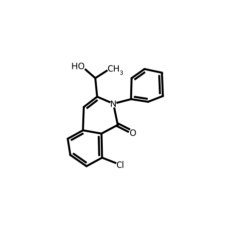 CC(O)c1cc2cccc(Cl)c2c(=O)n1-c1ccccc1